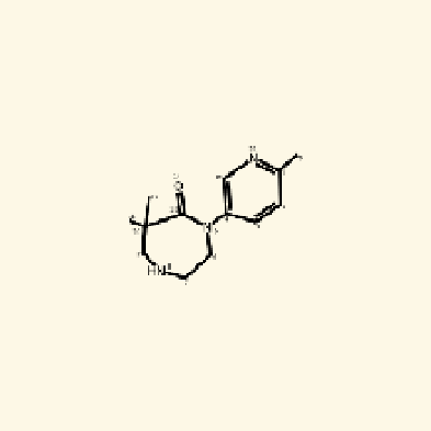 Cc1ccc(N2CCNCC(C)(C)C2=O)cn1